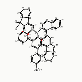 CC(C)(C)c1ccc(-c2ccc(N(c3ccc4c(c3)-c3ccccc3C4(C)C)c3ccc4ccccc4c3-c3ccc4c(c3)sc3ccccc34)c(-c3ccccc3)c2)cc1